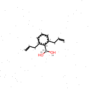 C=CCc1cccc(CC=C)c1B(O)O